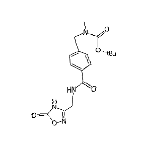 CN(Cc1ccc(C(=O)NCc2noc(=O)[nH]2)cc1)C(=O)OC(C)(C)C